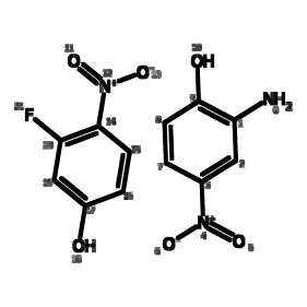 Nc1cc([N+](=O)[O-])ccc1O.O=[N+]([O-])c1ccc(O)cc1F